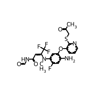 CC(=O)CSc1ncccc1Oc1cc(N(C)/C(=C\C(=O)NC=O)C(F)(F)F)c(F)cc1N